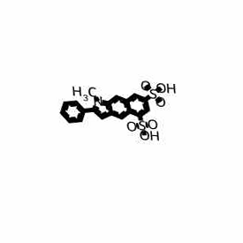 Cn1c(-c2ccccc2)cc2cc3c(S(=O)(=O)O)cc(S(=O)(=O)O)cc3cc21